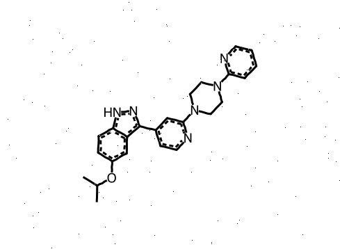 CC(C)Oc1ccc2[nH]nc(-c3ccnc(N4CCN(c5ccccn5)CC4)c3)c2c1